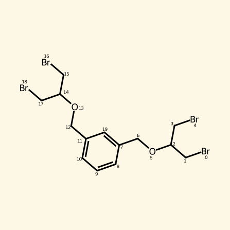 BrCC(CBr)OCc1cccc(COC(CBr)CBr)c1